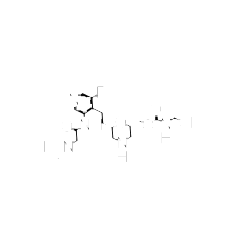 NCC(=O)Nc1cncc(F)c1CC[C@@H]1CNC[C@@H](COC(=O)NCC(F)(F)F)O1